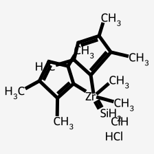 CC1=CC(C)[C]([Zr]([CH3])([CH3])(=[SiH2])[C]2=C(C)C(C)=CC2C)=C1C.Cl.Cl